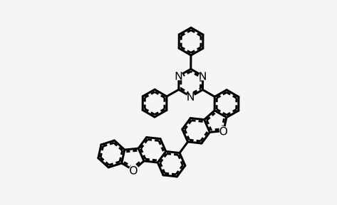 c1ccc(-c2nc(-c3ccccc3)nc(-c3cccc4oc5cc(-c6cccc7c6ccc6c8ccccc8oc76)ccc5c34)n2)cc1